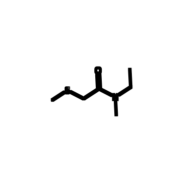 CCN(C)C(=O)CSC